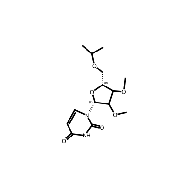 COC1C(OC)[C@@H](COC(C)C)O[C@H]1n1ccc(=O)[nH]c1=O